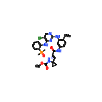 COc1ccc(NC(=O)/C=C/C2(NC(=O)OC(C)(C)C)CC2)cc1Nc1ncc(Cl)c(Nc2ccccc2P(C)(C)=O)n1